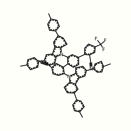 Cc1ccc(-c2ccc3c(c2)c2cc(-c4ccc(C)cc4)ccc2n3-c2ccc(C#N)cc2-c2ccc(-c3ccc(C(F)(F)F)cc3C#N)cc2-n2c3ccc(-c4ccc(C)cc4)cc3c3cc(-c4ccc(C)cc4)ccc32)cc1